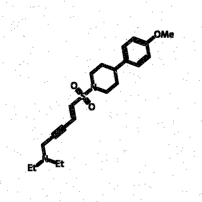 CCN(CC)CC#CC=CS(=O)(=O)N1CCC(c2ccc(OC)cc2)CC1